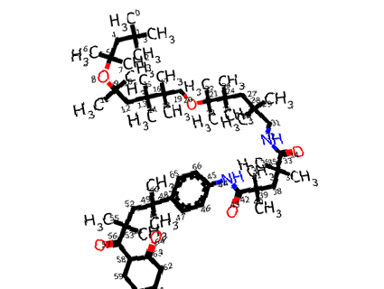 CC(C)(C)CC(C)(C)OC(C)(C)CC(C)(C)C(C)(C)COC(C)(C)C(C)(C)CC(C)(C)CNC(=O)C(C)(C)CC(C)(C)C(=O)Nc1ccc(C(C)(C)CC(C)(C)C(=O)C2CCCCC2=O)cc1